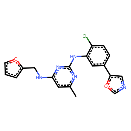 Cc1cc(NCc2ccco2)nc(Nc2cc(-c3cnco3)ccc2Cl)n1